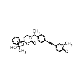 C[C@@H](c1ccc(C#Cc2ccc(=O)n(C)c2)cc1)N1CC[C@](CC(C)(C)O)(c2ccccc2)OC1=O